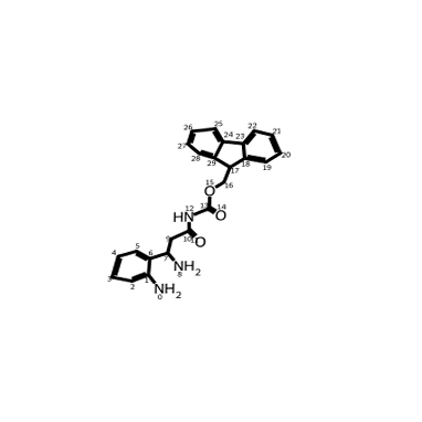 Nc1ccccc1C(N)CC(=O)NC(=O)OCC1c2ccccc2-c2ccccc21